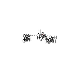 Cc1c(-c2ccc(N3CCc4cccc(C(=O)Nc5nc6ccccc6s5)c4C3)nc2C(=O)O)cnn1CC12CC3CC(C1)CC(C(=O)NCCCCCCCCCCNc1cccc4c1C(=O)N(C1CCC(=O)NC1=O)C4=O)(C3)C2